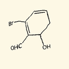 O=CC1=C(Br)C=CCC1O